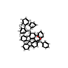 c1ccc(N(c2ccccc2)c2ccc3c(c2)C2(c4ccccc4-3)c3ccccc3-c3c(N(c4ccccc4)c4cccc5oc6ccccc6c45)cc4ccccc4c32)cc1